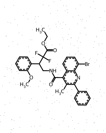 CCOC(=O)C(F)(F)C(CNC(=O)c1c(C)c(-c2ccccc2)nc2c(Br)cccc12)c1ccccc1OC